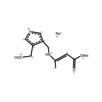 COC(=O)C=C(C)NCc1cscc1CC(=O)[O-].[Na+]